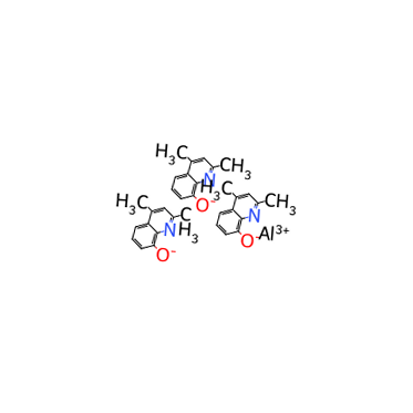 Cc1cc(C)c2cccc([O-])c2n1.Cc1cc(C)c2cccc([O-])c2n1.Cc1cc(C)c2cccc([O-])c2n1.[Al+3]